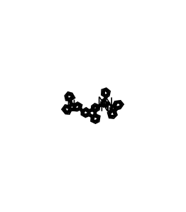 c1ccc(-c2nc(-c3ccc4c5cc(-c6ccc7c(c6)c6ccccc6n7-c6ccccc6)ccc5c5ccccc5c4c3)nc(-n3c4ccccc4c4ccccc43)n2)cc1